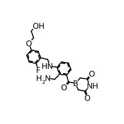 NCc1c(NCc2cc(OCCO)ccc2F)cccc1C(=O)B1CC(=O)NC(=O)C1